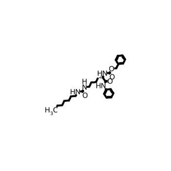 CCCCCCCNC(=O)NCCCC[C@H](NC(=O)OCc1ccccc1)C(=O)Nc1ccccc1